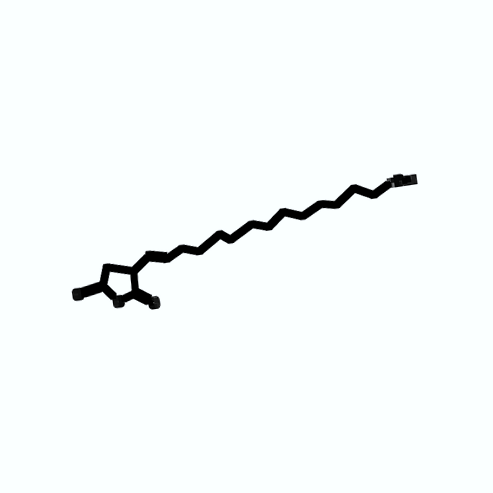 CCCCCCCCCCCCCCCCCCCCCCC=CC1CC(=O)OC1=O